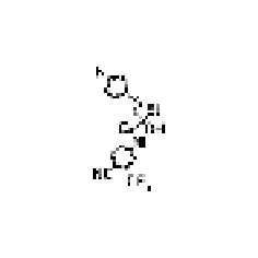 CC[C@](O)(CSc1ccc(F)cc1)C(=O)Nc1ccc(C#N)c(C(F)(F)F)c1